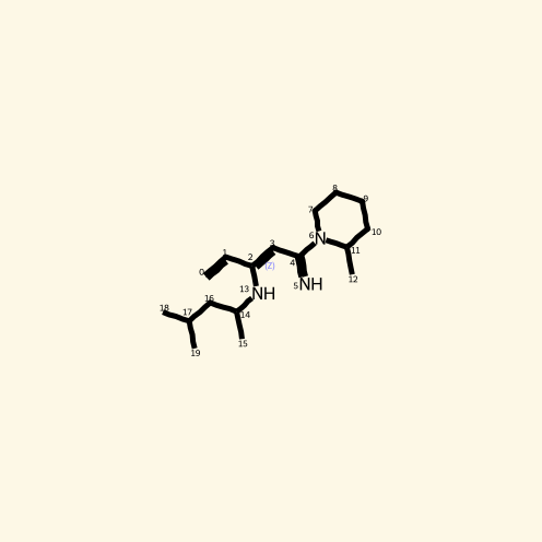 C=C/C(=C/C(=N)N1CCCCC1C)NC(C)CC(C)C